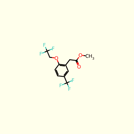 COC(=O)Cc1cc(C(F)(F)F)ccc1OCC(F)(F)F